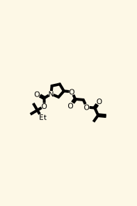 C=C(C)C(=O)OCC(=O)OC1CCN(C(=O)OC(C)(C)CC)C1